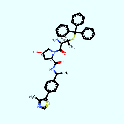 Cc1ncsc1-c1ccc(C(C)NC(=O)[C@H]2C[C@@H](O)CN2C(=O)C(N)C(C)(C)SC(c2ccccc2)(c2ccccc2)c2ccccc2)cc1